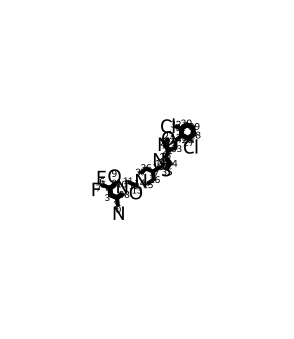 N#Cc1cc(C(F)F)c(=O)n(CC(=O)N2CCC(c3nc(C4=NOC(c5c(Cl)cccc5Cl)C4)cs3)CC2)c1